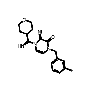 N=C(C1CCOCC1)n1ccn(Cc2cccc(F)c2)c(=O)c1=N